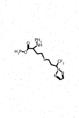 O=C(OP)C(CCSCCC(n1nccn1)C(F)(F)F)NP